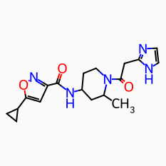 CC1CC(NC(=O)c2cc(C3CC3)on2)CCN1C(=O)Cc1ncc[nH]1